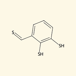 S=Cc1cccc(S)c1S